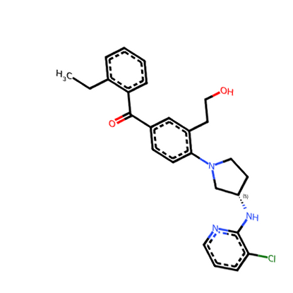 CCc1ccccc1C(=O)c1ccc(N2CC[C@H](Nc3ncccc3Cl)C2)c(CCO)c1